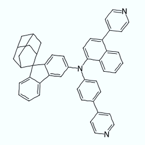 c1ccc2c(c1)-c1cc(N(c3ccc(-c4ccncc4)cc3)c3ccc(-c4ccncc4)c4ccccc34)ccc1C21C2CC3CC(C2)CC1C3